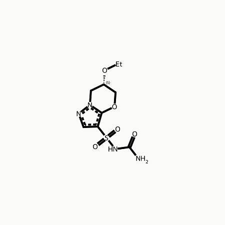 CCO[C@@H]1COc2c(S(=O)(=O)NC(N)=O)cnn2C1